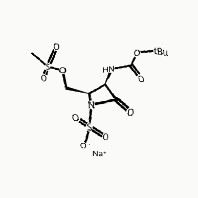 CC(C)(C)OC(=O)N[C@H]1C(=O)N(S(=O)(=O)[O-])[C@H]1COS(C)(=O)=O.[Na+]